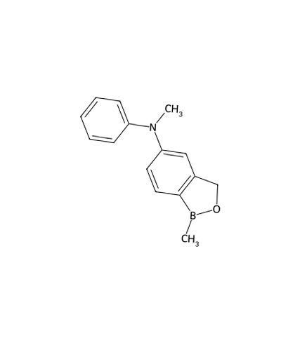 CB1OCc2cc(N(C)c3ccccc3)ccc21